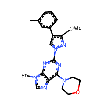 CCn1cnc2c(N3CCOCC3)nc(-n3cc(-c4cccc(C)c4)c(OC)n3)nc21